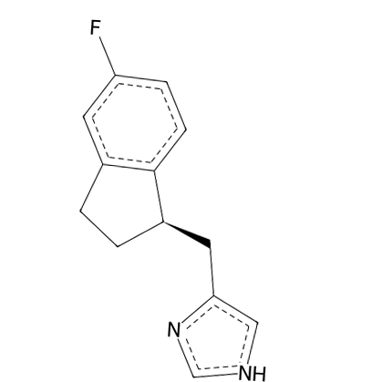 Fc1ccc2c(c1)CC[C@@H]2Cc1c[nH]cn1